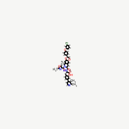 Cc1nc(C(=O)N2Cc3cc4c(cc3C[C@H]2C(=O)N[C@@H](Cc2ccc(-c3ccnc(C)c3C)cc2)C(=O)O)OC[C@H](c2ccc(Oc3cccc(Cl)c3)cc2)O4)c(C)o1